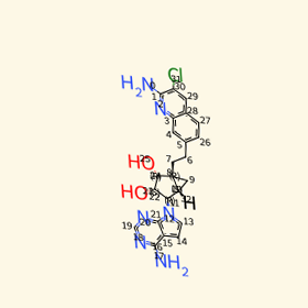 Nc1nc2cc(CC[C@@]34C[C@@H]3[C@@H](n3ccc5c(N)ncnc53)[C@H](O)[C@@H]4O)ccc2cc1Cl